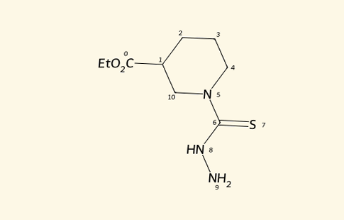 CCOC(=O)C1CCCN(C(=S)NN)C1